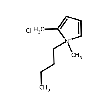 CCCC[N+]1(C)C=CC=C1C.[Cl-]